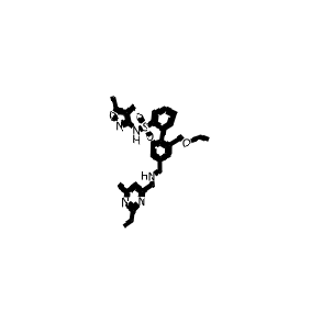 CCOCc1cc(CNCc2cc(C)nc(CC)n2)ccc1-c1ccccc1S(=O)(=O)Nc1noc(C)c1C